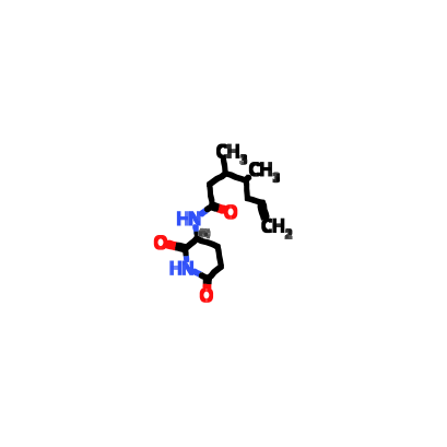 C=CCC(C)C(C)CC(=O)N[C@H]1CCC(=O)NC1=O